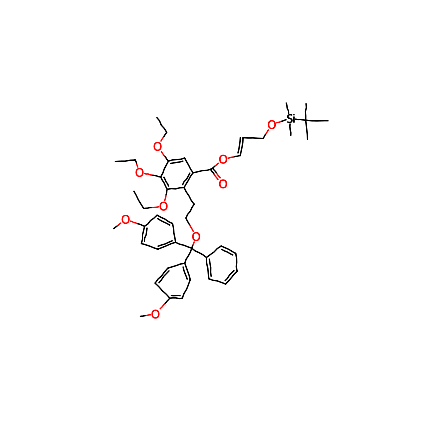 CCOc1cc(C(=O)OC=CCO[Si](C)(C)C(C)(C)C)c(CCOC(c2ccccc2)(c2ccc(OC)cc2)c2ccc(OC)cc2)c(OCC)c1OCC